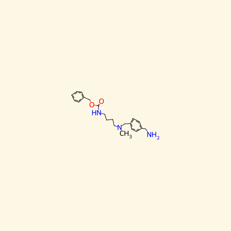 CN(CCCCNC(=O)OCc1ccccc1)Cc1ccc(CN)cc1